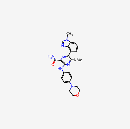 CNc1nc(Nc2ccc(N3CCOCC3)cc2)c(C(N)=O)nc1-c1cccc2c1ncn2C